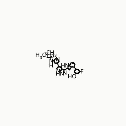 CN(C)CC(=O)Nc1cncc(-c2cnc3[nH]nc(-c4cc5c(-c6cc(O)cc(F)c6)cccc5[nH]4)c3c2)c1